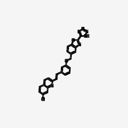 Clc1ccc2ccc(/C=C/c3cccc(OCc4ccc5oc(-c6nnn[nH]6)nc5c4)c3)nc2c1